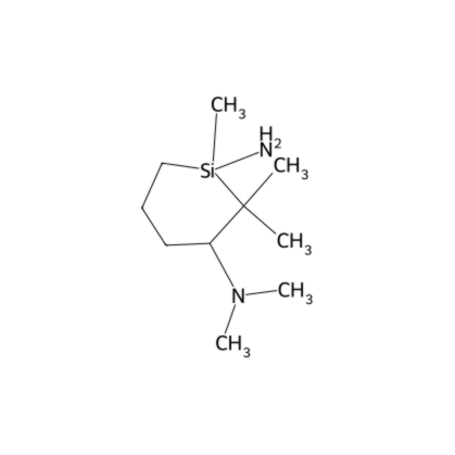 CN(C)C1CCC[Si](C)(N)C1(C)C